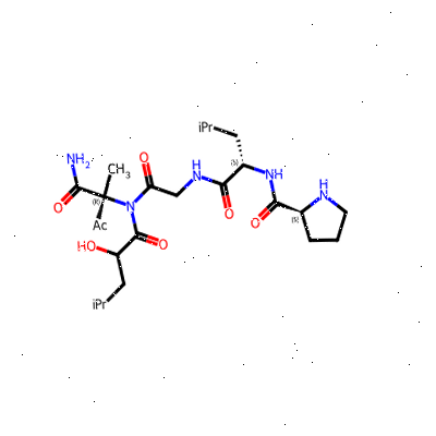 CC(=O)[C@](C)(C(N)=O)N(C(=O)CNC(=O)[C@H](CC(C)C)NC(=O)[C@@H]1CCCN1)C(=O)C(O)CC(C)C